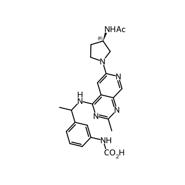 CC(=O)N[C@@H]1CCN(c2cc3c(NC(C)c4cccc(NC(=O)O)c4)nc(C)nc3cn2)C1